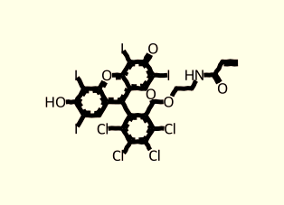 C=CC(=O)NCCOC(=O)c1c(Cl)c(Cl)c(Cl)c(Cl)c1-c1c2cc(I)c(=O)c(I)c-2oc2c(I)c(O)c(I)cc12